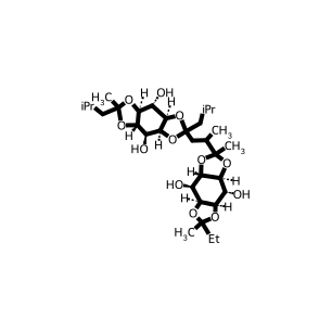 CCC1(C)O[C@@H]2[C@@H](O)[C@@H]3OC(C)(C(C)CC4(CC(C)C)O[C@@H]5[C@@H](O)[C@@H]6OC(C)(CC(C)C)O[C@H]6[C@H](O)[C@@H]5O4)O[C@H]3[C@H](O)[C@@H]2O1